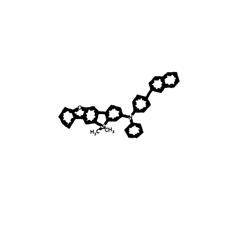 C[Si]1(C)c2cc(N(c3ccccc3)c3ccc(-c4ccc5ccccc5c4)cc3)ccc2-c2cc3oc4ccccc4c3cc21